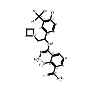 N/N=C(/NC(CN1CCC1)c1ccc(Cl)c(C(F)(F)F)c1)c1cccc(C(N)=O)c1N